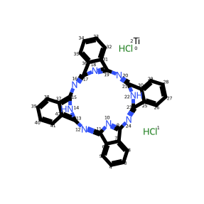 Cl.Cl.[Ti].c1ccc2c(c1)-c1nc-2nc2[nH]c(nc3nc(nc4[nH]c(n1)c1ccccc41)-c1ccccc1-3)c1ccccc21